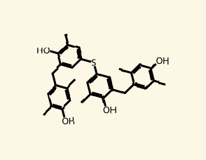 Cc1cc(Cc2cc(Sc3cc(C)c(O)c(Cc4cc(C)c(O)cc4C)c3)cc(C)c2O)c(C)cc1O